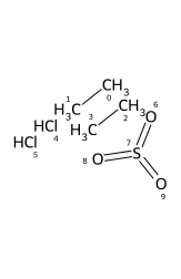 CC.CC.Cl.Cl.O=S(=O)=O